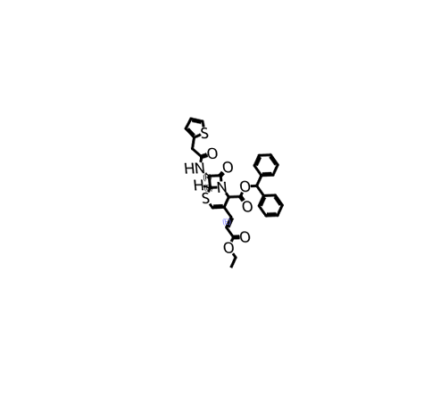 CCOC(=O)/C=C/C1=CS[C@@H]2[C@H](NC(=O)Cc3cccs3)C(=O)N2C1C(=O)OC(c1ccccc1)c1ccccc1